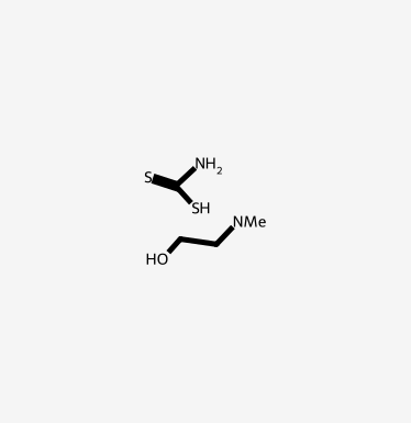 CNCCO.NC(=S)S